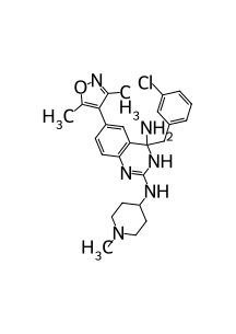 Cc1noc(C)c1-c1ccc2c(c1)C(N)(Cc1cccc(Cl)c1)NC(NC1CCN(C)CC1)=N2